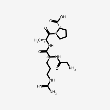 C[C@H](NC(=O)[C@H](CCCNC(=N)N)NC(=O)CN)C(=O)N1CCC[C@H]1C(=O)O